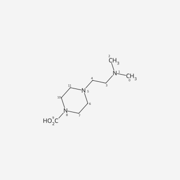 CN(C)CCN1CCN(C(=O)O)CC1